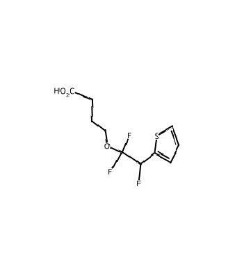 O=C(O)CCCOC(F)(F)C(F)c1cccs1